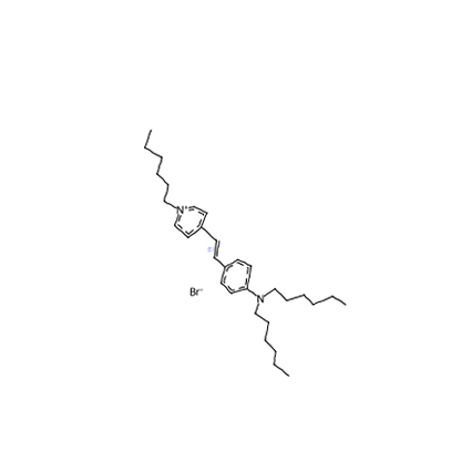 CCCCCCN(CCCCCC)c1ccc(/C=C/c2cc[n+](CCCCCC)cc2)cc1.[Br-]